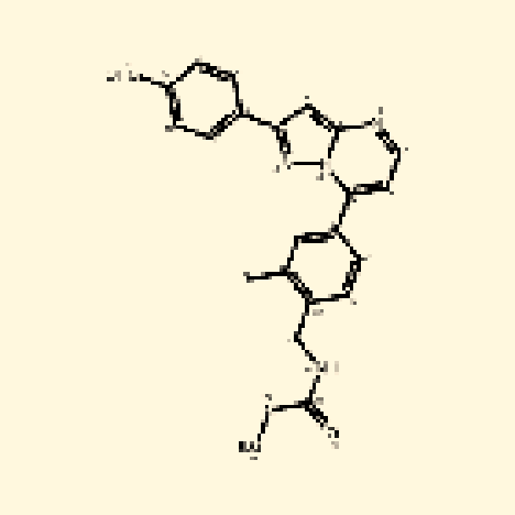 Cc1cc(-c2ccnc3cc(-c4ccc(C=O)cc4)nn23)ccc1CNC(=O)OC(C)(C)C